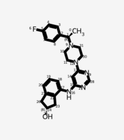 C[C@H](c1ccc(F)cc1)N1CCN(c2cc(Nc3cccc4c3C[C@H](O)C4)ncn2)CC1